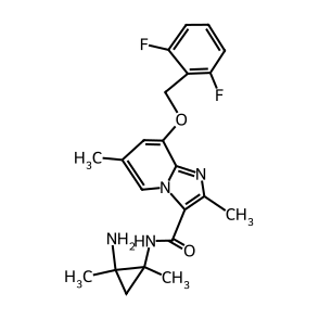 Cc1cc(OCc2c(F)cccc2F)c2nc(C)c(C(=O)NC3(C)CC3(C)N)n2c1